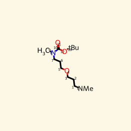 CNCCCOCCCN(C)C(=O)OC(C)(C)C